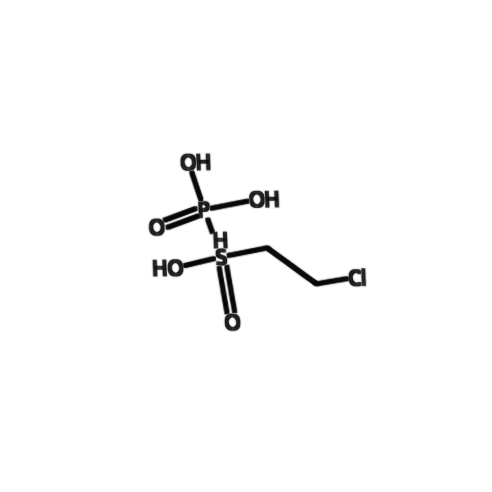 O=P(O)(O)[SH](=O)(O)CCCl